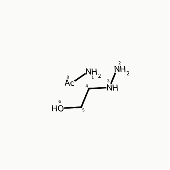 CC(N)=O.NNCCO